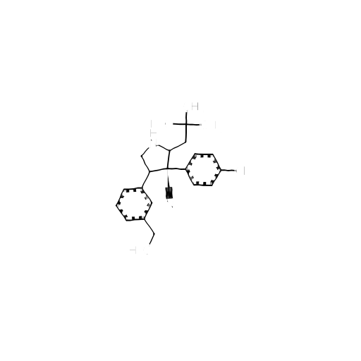 CCc1cccc(C2CNC(CC(C)(C)C)[C@]2(C#N)c2ccc(Cl)cc2)c1